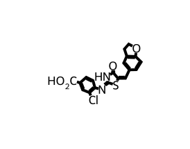 O=C1NC(=Nc2ccc(C(=O)O)cc2Cl)SC1=Cc1ccc2c(c1)CCO2